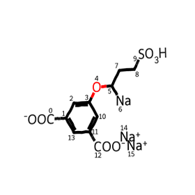 O=C([O-])c1cc(O[CH]([Na])CCS(=O)(=O)O)cc(C(=O)[O-])c1.[Na+].[Na+]